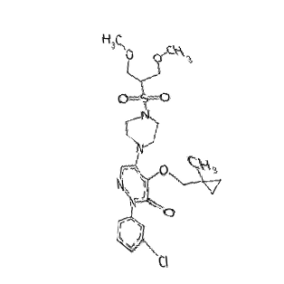 COCC(COC)S(=O)(=O)N1CCN(c2cnn(-c3cccc(Cl)c3)c(=O)c2OCC2(C)CC2)CC1